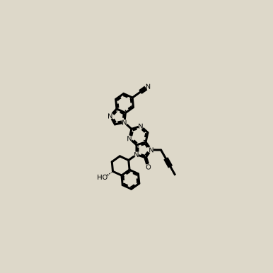 CC#CCn1c(=O)n(C2CC[C@@H](O)c3ccccc32)c2nc(-n3cnc4ccc(C#N)cc43)ncc21